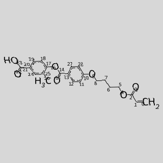 C=CC(=O)OCCCCOc1ccc(C(=O)Oc2ccc(C(=O)O)cc2C)cc1